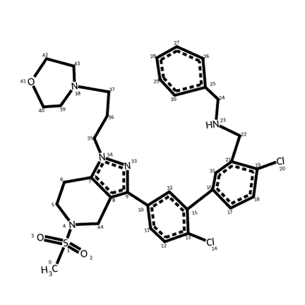 CS(=O)(=O)N1CCc2c(c(-c3ccc(Cl)c(-c4ccc(Cl)c(CNCc5ccccc5)c4)c3)nn2CCCN2CCOCC2)C1